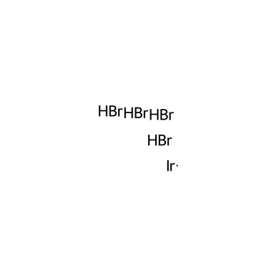 Br.Br.Br.Br.[Ir]